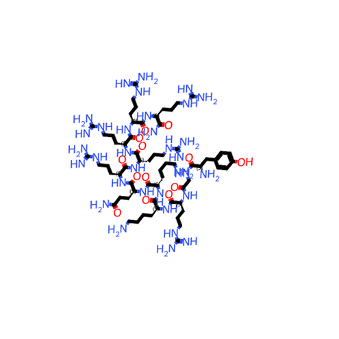 N=C(N)NCCC[C@H](NC(=O)[C@H](CCCNC(=N)N)NC(=O)[C@H](CCCNC(=N)N)NC(=O)[C@H](CCCNC(=N)N)NC(=O)[C@H](CCCNC(=N)N)NC(=O)[C@H](CCC(N)=O)NC(=O)[C@H](CCCCN)NC(=O)[C@H](CCCCN)NC(=O)[C@H](CCCNC(=N)N)NC(=O)CNC(=O)[C@@H](N)Cc1ccc(O)cc1)C(N)=O